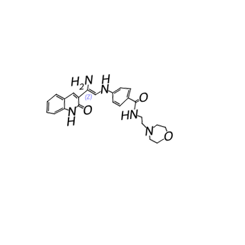 N/C(=C\Nc1ccc(C(=O)NCCN2CCOCC2)cc1)c1cc2ccccc2[nH]c1=O